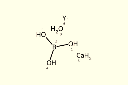 O.OB(O)O.[CaH2].[Y]